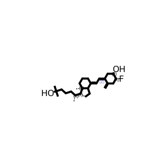 C=C1C[C@@H](F)[C@H](O)C/C1=C/C=C1CCC[C@@]2(C)C1CC[C@@H]2[C@H](C)CCCC(C)(C)O